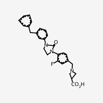 O=C(O)C1CN(Cc2ccc(N3CCN(c4cccc(Cc5ccccc5)c4)C3=O)c(F)c2)C1